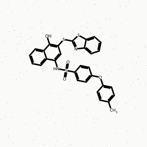 Cc1ccc(Oc2ccc(S(=O)(=O)Nc3cc(Sc4nc5ccccc5s4)c(O)c4ccccc34)cc2)cc1